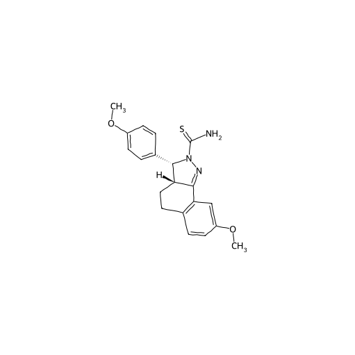 COc1ccc([C@H]2[C@H]3CCc4ccc(OC)cc4C3=NN2C(N)=S)cc1